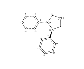 c1ccc([C@@H]2CNC[C@H]2c2ccccc2)cc1